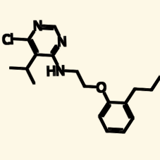 CCCc1ccccc1OCCNc1ncnc(Cl)c1C(C)C